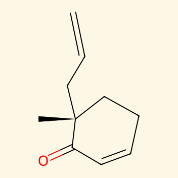 C=CC[C@]1(C)CCC=CC1=O